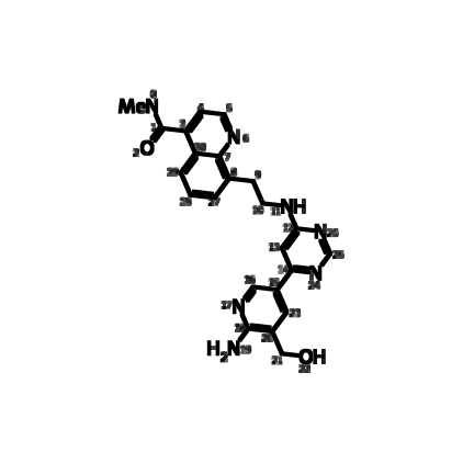 CNC(=O)c1ccnc2c(CCNc3cc(-c4cnc(N)c(CO)c4)ncn3)cccc12